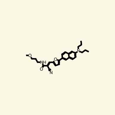 CCCN(CCC)c1ccc2cc(-c3ccc(/C=C(\C#N)C(=O)NCCCOC)o3)ccc2c1